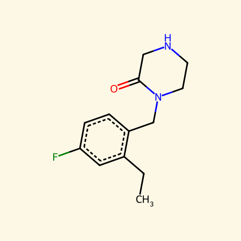 CCc1cc(F)ccc1CN1CCNCC1=O